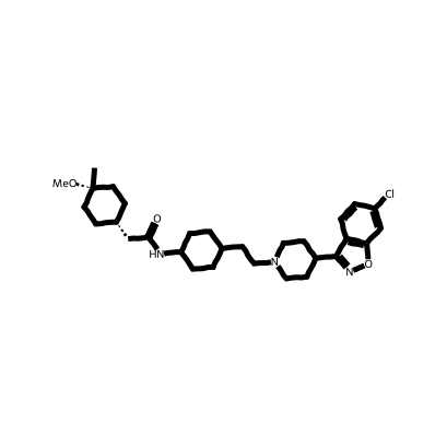 CO[C@]1(C)CC[C@H](CC(=O)NC2CCC(CCN3CCC(c4noc5cc(Cl)ccc45)CC3)CC2)CC1